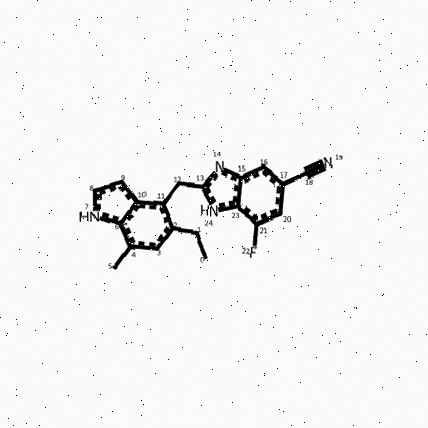 CCc1cc(C)c2[nH]ccc2c1Cc1nc2cc(C#N)cc(F)c2[nH]1